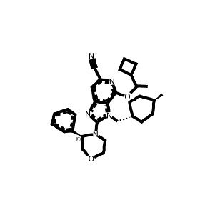 CC(Oc1nc(C#N)cc2nc(N3CCOC[C@H]3c3ccccc3)n(C[C@H]3CC[C@H](C)CC3)c12)C1CCC1